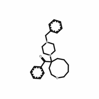 O=C(c1ccccc1)C1(N2CCN(Cc3ccccc3)CC2)CCCCCOCC1